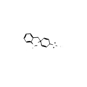 CN(C)c1ccccc1CC1(C)C=CC(S(=O)(=O)O)C=C1